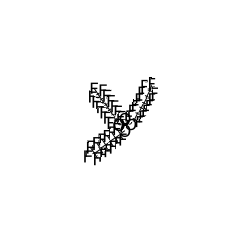 O=P(OC(F)(F)C(F)(F)C(F)(F)C(F)(F)C(F)(F)C(F)(F)F)(OC(F)(F)C(F)(F)C(F)(F)C(F)(F)C(F)(F)C(F)(F)F)OC(F)(F)C(F)(F)C(F)(F)C(F)(F)C(F)(F)C(F)(F)F